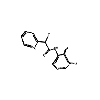 Cc1c(Br)cccc1NC(=O)C(F)c1ccccn1